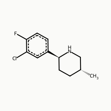 C[C@@H]1CC[C@@H](c2ccc(F)c(Cl)c2)NC1